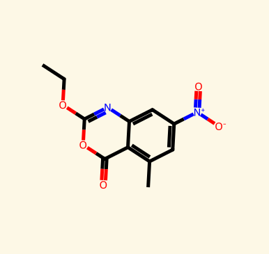 CCOc1nc2cc([N+](=O)[O-])cc(C)c2c(=O)o1